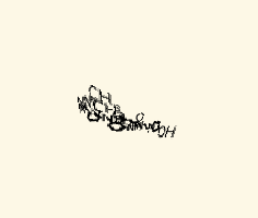 CC(C)n1cnnc1-c1cccc(Nc2cccc3[nH]c(C(=O)NCCN4CC[C@@H](O)C4)cc(=O)c23)n1